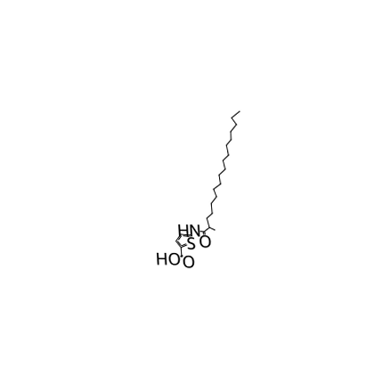 CCCCCCCCCCCCCCCCC(C)C(=O)Nc1ccc(C(=O)O)s1